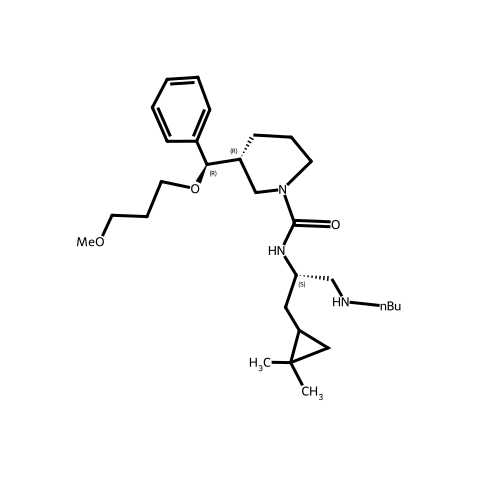 CCCCNC[C@H](CC1CC1(C)C)NC(=O)N1CCC[C@@H]([C@@H](OCCCOC)c2ccccc2)C1